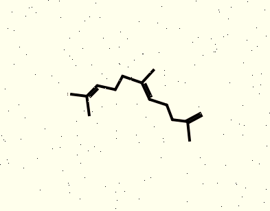 [CH]C(C)=CCCC(C)=CCCC(=C)C